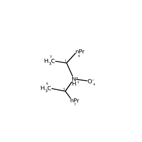 CCCC(C)[NH+]([O-])C(C)CCC